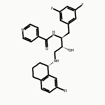 CCc1ccc2c(c1)[C@@H](NC[C@@H](O)[C@H](Cc1cc(F)cc(F)c1)NC(=O)c1ccncc1)CCC2